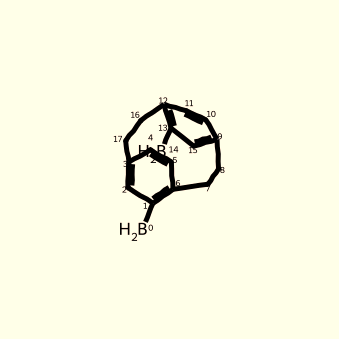 Bc1cc2ccc1CCc1ccc(c(B)c1)CC2